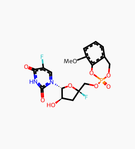 COc1cccc2c1OP(=O)(OC[C@]1(F)C[C@@H](O)[C@H](n3cc(F)c(=O)[nH]c3=O)O1)OC2